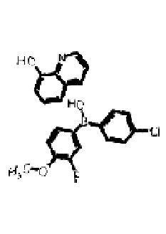 COc1ccc(B(O)c2ccc(Cl)cc2)cc1F.Oc1cccc2cccnc12